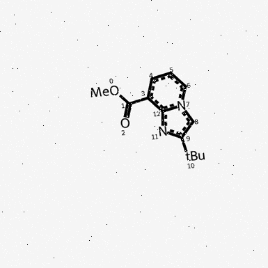 COC(=O)c1cccn2cc(C(C)(C)C)nc12